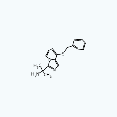 CC(C)(N)c1ncc2c(SCc3ccccc3)cccn12